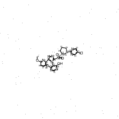 COC1=NC(c2nnc(NS(=O)(=O)[C@H]3CCCN(c4ncc(Cl)cn4)C3)n2-c2c(O)ncnc2OC)=C=C=C1